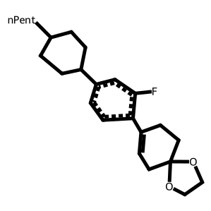 CCCCCC1CCC(c2ccc(C3=CCC4(CC3)OCCO4)c(F)c2)CC1